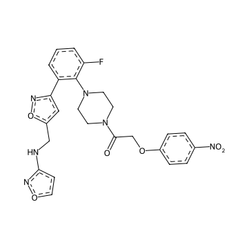 O=C(COc1ccc([N+](=O)[O-])cc1)N1CCN(c2c(F)cccc2-c2cc(CNc3ccon3)on2)CC1